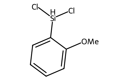 COc1ccccc1[SiH](Cl)Cl